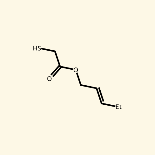 CCC=CCOC(=O)CS